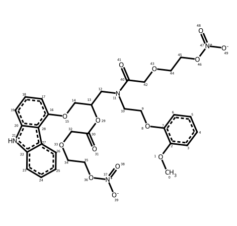 COc1ccccc1OCCN(CC(COc1cccc2[nH]c3ccccc3c12)OC(=O)COCCO[N+](=O)[O-])C(=O)COCCO[N+](=O)[O-]